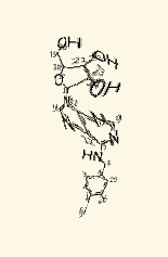 Cc1ccc(CNc2ncnc3c2ncn3C2OC(CO)C(O)C2O)cc1